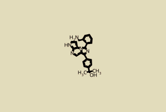 CC(C)(O)c1ccc(-c2nc(-c3ccccc3CN)n3c2cnc2[nH]ccc23)cc1